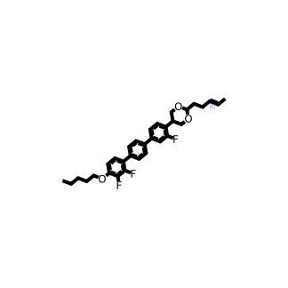 C/C=C/CCC1OCC(c2ccc(-c3ccc(-c4ccc(OCCCCC)c(F)c4F)cc3)cc2F)CO1